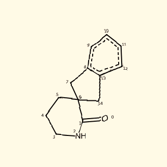 O=C1NCCCC12Cc1ccccc1C2